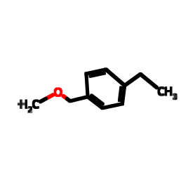 [CH2]OCc1ccc(CC)cc1